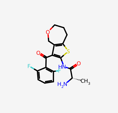 C[C@H](N)C(=O)Nc1sc2c(c1C(=O)c1c(F)cccc1F)COCCC2